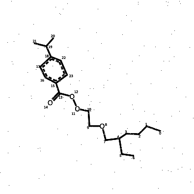 CCCCC(CC)COC[CH]OOC(=O)c1ccc(C(C)C)cc1